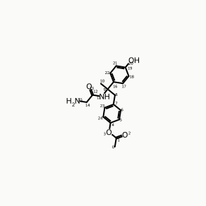 CC(=O)Oc1ccc(CC(C)(NC(=O)CN)c2ccc(O)cc2)cc1